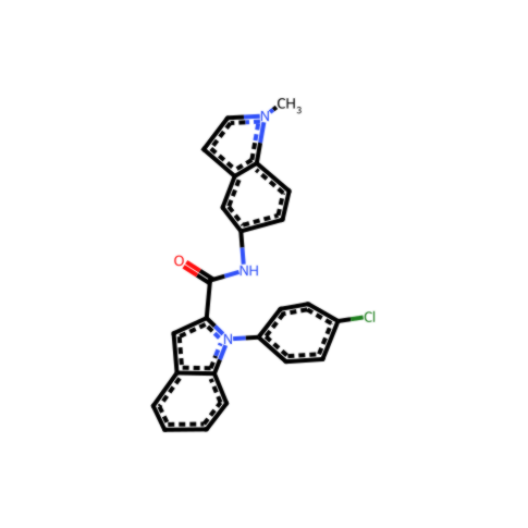 Cn1ccc2cc(NC(=O)c3cc4ccccc4n3-c3ccc(Cl)cc3)ccc21